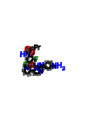 CCCS(=O)(=O)Nc1cc(F)c(Oc2ncccc2-c2ccnc(N[C@H]3CC[C@H](N)CC3)n2)c(F)c1